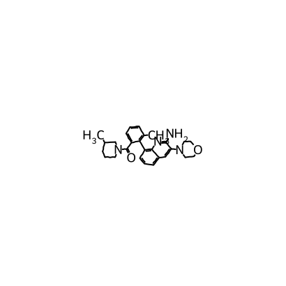 Cc1cccc(C(=O)N2CCCC(C)C2)c1-c1cccc2cc(N3CCOCC3)c(N)nc12